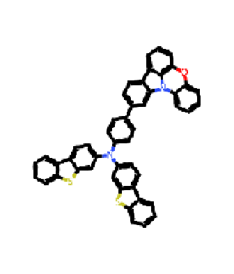 c1ccc2c(c1)Oc1cccc3c4ccc(-c5ccc(N(c6ccc7c(c6)sc6ccccc67)c6ccc7c(c6)sc6ccccc67)cc5)cc4n-2c13